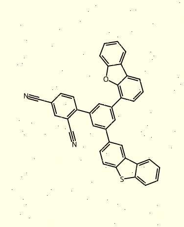 N#Cc1ccc(-c2cc(-c3ccc4sc5ccccc5c4c3)cc(-c3cccc4c3oc3ccccc34)c2)c(C#N)c1